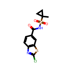 CC1(S(=O)(=O)NC(=O)c2ccc3nc(Cl)sc3c2)CC1